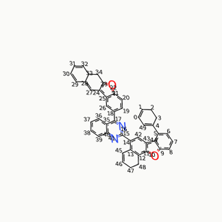 C1=CCCC(c2cccc3oc4c5c(c(-c6nc(-c7ccc8oc9c(c8c7)C=C7C=CC=CC7C9)c7ccccc7n6)cc4c23)C=CCC5)=C1